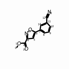 COC(=O)c1cc(-c2cccc(C#N)c2)on1